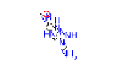 Cc1nc(-c2cccc(N/C(=N/C=N)c3[nH]ccc3CN3CCC(N)CC3)c2)no1